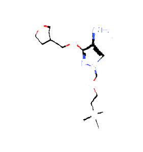 C[Si](C)(C)CCOCn1cc(N)c(OCC2CCOC2)n1